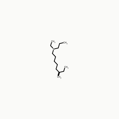 C=C(CC)CCCCCN(CC)CCC